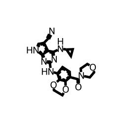 N#Cc1c[nH]c2nc(Nc3ccc(C(=O)N4CCOCC4)c4c3OCCO4)nc(NC3CC3)c12